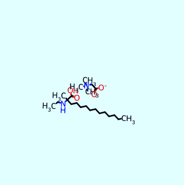 CCCCCCCCCCCCC(C)(NCC)C(=O)O.C[N+](C)(C)CC(=O)[O-]